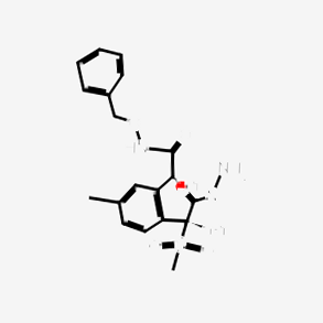 CCC[C@H](C(=O)NOCc1ccccc1)c1cc(C)ccc1[C@](CCC)(C(=O)NN)S(C)(=O)=O